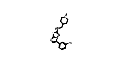 CC(=O)c1cccc(-c2cnc3sc(NCC4CCN(C)CC4)nn23)c1